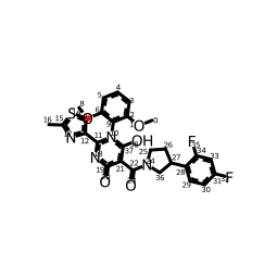 COc1cccc(OC)c1-n1c(-c2csc(C)n2)nc(=O)c(C(=O)N2CCC(c3ccc(F)cc3F)C2)c1O